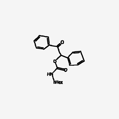 CCCCCCNC(=O)OC(C(=O)c1ccccc1)c1ccccc1